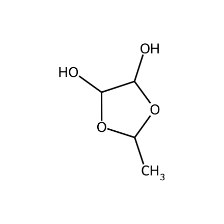 CC1OC(O)C(O)O1